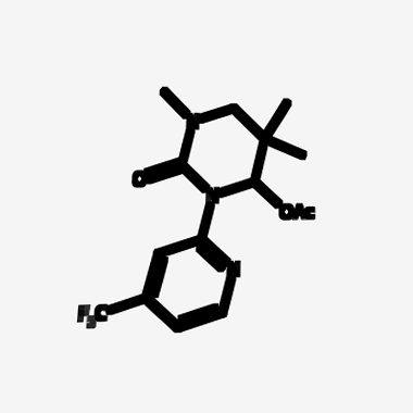 CC(=O)OC1N(c2cc(C(F)(F)F)ccn2)C(=O)N(C)CC1(C)C